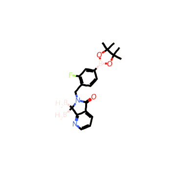 BC1(B)c2ncccc2C(=O)N1Cc1ccc(B2OC(C)(C)C(C)(C)O2)cc1F